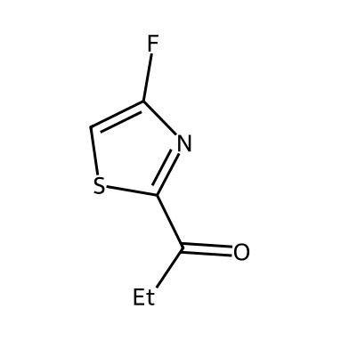 CCC(=O)c1nc(F)cs1